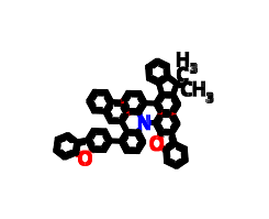 CC1(C)c2ccccc2-c2c(-c3ccccc3N(c3cccc(-c4ccc5c(c4)oc4ccccc45)c3-c3ccc4ccccc4c3)c3cccc4c3oc3ccccc34)cccc21